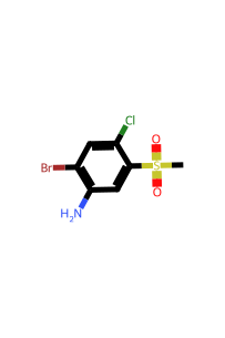 CS(=O)(=O)c1cc(N)c(Br)cc1Cl